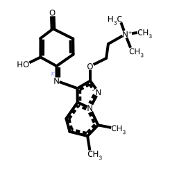 Cc1ccc2c(/N=C3\C=CC(=O)C=C3O)c(OCC[N+](C)(C)C)nn2c1C